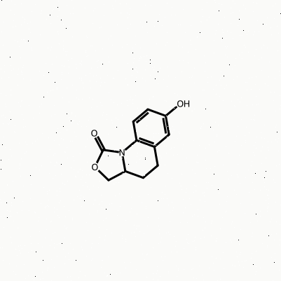 O=C1OCC2CCc3cc(O)ccc3N12